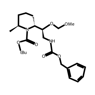 COCO[C@@H](CNC(=O)OCc1ccccc1)[C@H]1CCC[C@H](C)N1C(=O)OC(C)(C)C